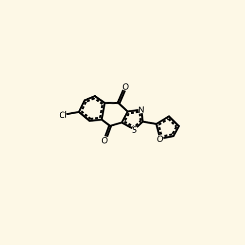 O=C1c2ccc(Cl)cc2C(=O)c2sc(-c3ccco3)nc21